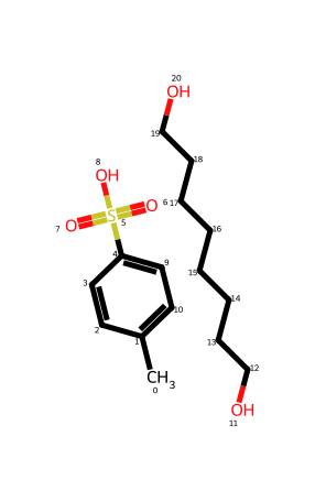 Cc1ccc(S(=O)(=O)O)cc1.OCCCCCCCCO